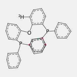 [2H]c1cccc(P(c2ccccc2)c2ccccc2)c1Oc1ccccc1P(c1ccccc1)c1ccccc1